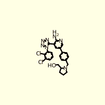 Nc1ncc(-c2ccc(CN3CCCC3CO)cc2)cc1-c1nnnn1-c1cccc(Cl)c1Cl